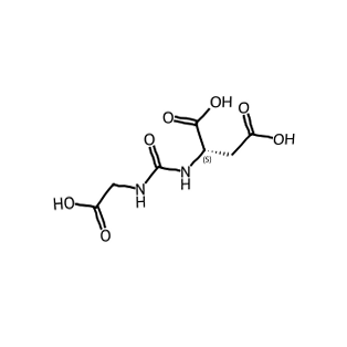 O=C(O)CNC(=O)N[C@@H](CC(=O)O)C(=O)O